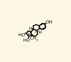 C[C@]12CC[C@@H]3c4ccc(O)cc4CC[C@H]3[C@@H]1C[C@@H](O)C2O